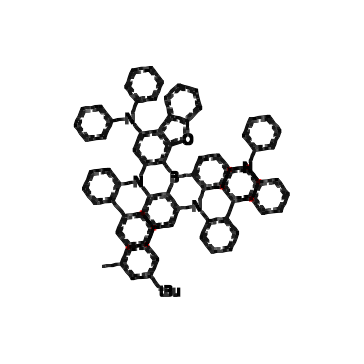 Cc1cc(-c2cc3c4c(c2)N(c2ccccc2-c2ccccc2)c2cc(N(c5ccccc5)c5ccccc5)c5c(oc6ccccc65)c2B4c2ccc(N(c4ccccc4)c4ccccc4)cc2N3c2ccccc2-c2ccccc2)cc(C(C)(C)C)c1